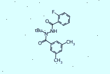 Cc1cc(C)cc(C(=O)N(NC(=O)c2ccccc2F)C(C)(C)C)c1